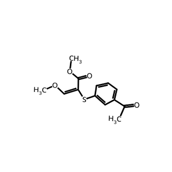 COC=C(Sc1cccc(C(C)=O)c1)C(=O)OC